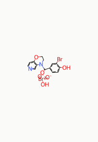 O=C(c1ccc(O)c(Br)c1)N1CCOc2ccncc21.[O-][Br+2]([O-])O